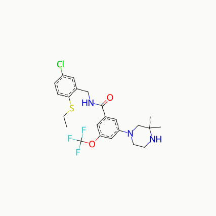 CCSc1ccc(Cl)cc1CNC(=O)c1cc(OC(F)(F)F)cc(N2CCNC(C)(C)C2)c1